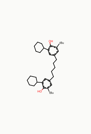 CC(C)(C)c1cc(CCCCCc2cc(C3CCCCC3)c(O)c(C(C)(C)C)c2)cc(C2CCCCC2)c1O